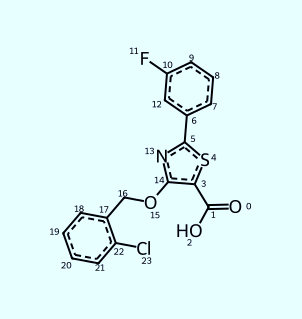 O=C(O)c1sc(-c2cccc(F)c2)nc1OCc1ccccc1Cl